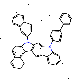 C1=Cc2ccc3c(c2CC1)c1cc2c4ccccc4n(-c4ccc(-c5ccccc5)cc4)c2cc1n3-c1ccc2ccccc2c1